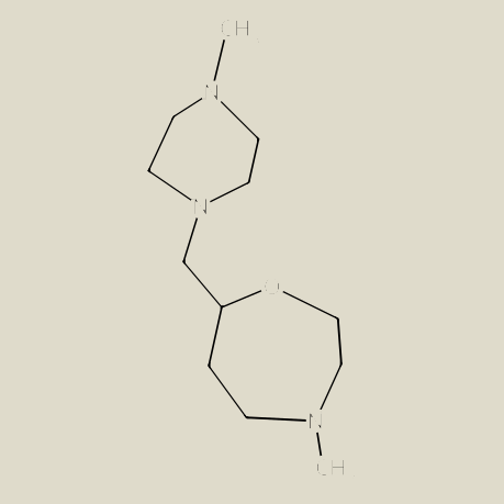 CN1CCOC(CN2CCN(C)CC2)CC1